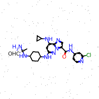 C[C@@](N)(C=O)NC1CCC(Nc2cc(NC3CC3)c3ncc(C(=O)Nc4ccnc(Cl)c4)n3n2)CC1